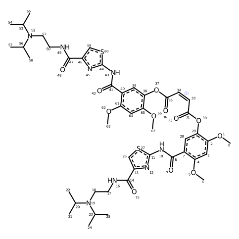 COc1cc(OC)c(C(=O)Nc2nc(C(=O)NCCN(C(C)C)C(C)C)cs2)cc1OC(=O)/C=C\C(=O)Oc1cc(C(=O)Nc2nc(C(=O)NCCN(C(C)C)C(C)C)cs2)c(OC)cc1OC